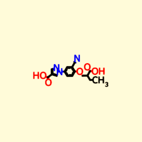 CCC(COc1ccc(-n2cc(C(=O)O)cn2)cc1C#N)C(=O)O